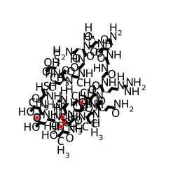 CC(C)C[C@H](NC(=O)[C@H](C)NC(=O)CNC(=O)[C@H](CC(N)=O)NC(=O)[C@H](CO)NC(=O)[C@H](CC(N)=O)NC(=O)CNC(=O)CNC(=O)[C@H](CCCNC(=N)N)NC(=O)[C@@H](NC(=O)[C@H](CCC(N)=O)NC(=O)[C@@H](NC(=O)[C@H](CC(C)C)NC(=O)[C@@H](NC(=O)[C@@H](NC(=O)[C@H](Cc1c[nH]cn1)NC(=O)[C@H](CC(=O)O)NC(=O)[C@@H](NC(=O)[C@@H](N)CS)[C@@H](C)O)[C@@H](C)O)C(C)C)C(C)C)[C@@H](C)O)C(=O)N[C@@H](CS)C(=O)O